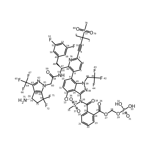 CC(C)(C#Cc1ccc(-c2ccc(Cl)c3c(N(C(=O)c4ccccc4C(=O)OCOP(=O)(O)O)S(C)(=O)=O)nn(CC(F)(F)F)c23)c([C@H](Cc2cc(F)cc(F)c2)NC(=O)Cn2nc(C(F)(F)F)c3c2C(F)(F)C[C@@H]3N)n1)S(C)(=O)=O